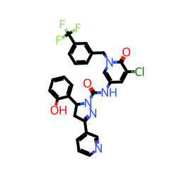 O=C(Nc1cc(Cl)c(=O)n(Cc2cccc(C(F)(F)F)c2)c1)N1N=C(c2cccnc2)CC1c1ccccc1O